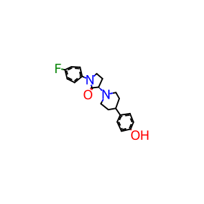 O=C1[C@H](N2CCC(c3ccc(O)cc3)CC2)CCN1c1ccc(F)cc1